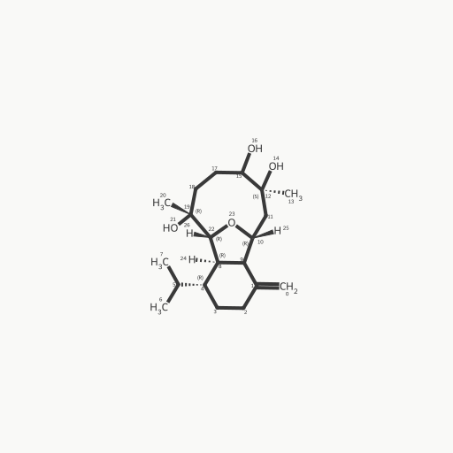 C=C1CC[C@H](C(C)C)[C@@H]2C1[C@H]1C[C@](C)(O)C(O)CC[C@@](C)(O)[C@@H]2O1